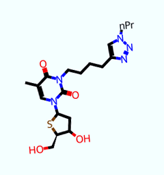 CCCn1cc(CCCCn2c(=O)c(C)cn(C3CC(O)[C@@H](CO)S3)c2=O)nn1